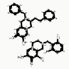 O=c1c(O)cn2c(c1Cl)CN(Cc1c(F)cccc1Cl)CC2.O=c1cc2n(cc1O)CC(CCc1ccccc1)N(Cc1ccccc1)C2